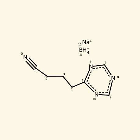 N#CCCCc1ncncn1.[BH4-].[Na+]